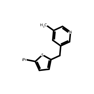 Cc1cncc(Cc2ccc(C(C)C)s2)c1